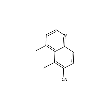 Cc1ccnc2ccc(C#N)c(F)c12